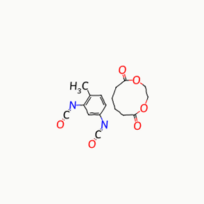 Cc1ccc(N=C=O)cc1N=C=O.O=C1CCCCC(=O)OCCO1